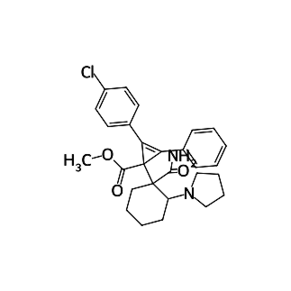 COC(=O)C1(C2(C(N)=O)CCCCC2N2CCCC2)C(c2ccccc2)=C1c1ccc(Cl)cc1